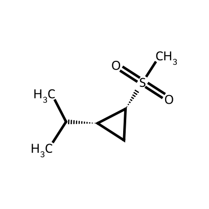 CC(C)[C@H]1C[C@H]1S(C)(=O)=O